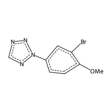 COc1ccc(-n2ncnn2)cc1Br